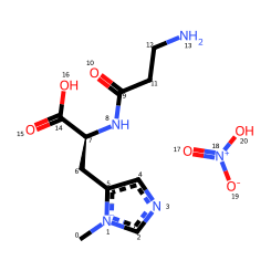 Cn1cncc1C[C@H](NC(=O)CCN)C(=O)O.O=[N+]([O-])O